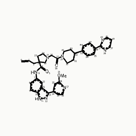 C=CCC1(C(=O)Nc2ccc3[nH]nc(-c4ccnc(OC)c4)c3c2)CCN(CC(=O)N2CCC(c3ccc(-c4ncccn4)cc3)CC2)C1